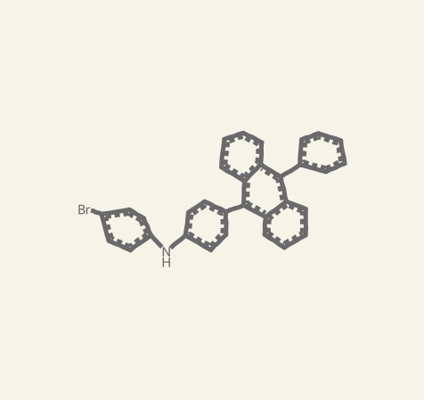 Brc1ccc(Nc2ccc(-c3c4ccccc4c(-c4ccccc4)c4ccccc34)cc2)cc1